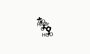 CC(C)(C)OC(=O)NC(Br)C(=O)c1cccc(C(=O)O)c1